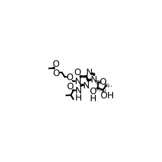 CC(=O)OCCOCn1c(NC(=O)C(C)C)nc2c(ncn2[C@@H]2O[C@H](C)[C@@H](O)[C@H]2O)c1=O